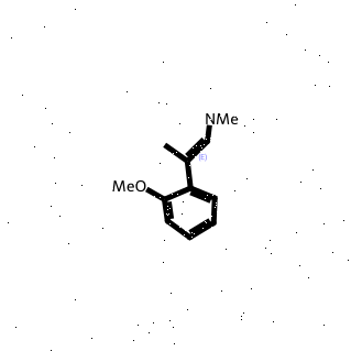 CN/C=C(\C)c1ccccc1OC